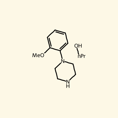 CCCO.COc1ccccc1N1CCNCC1